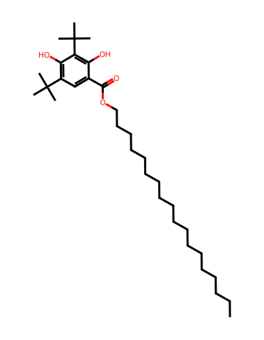 CCCCCCCCCCCCCCCCCCOC(=O)c1cc(C(C)(C)C)c(O)c(C(C)(C)C)c1O